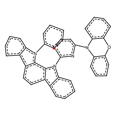 c1ccc(-n2c3ccccc3c3ccc4c5ccccc5n(-c5nccc(N6c7ccccc7Oc7ccccc76)n5)c4c32)cc1